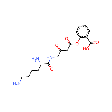 NCCCC[C@H](N)C(=O)NCC(=O)CC(=O)Oc1ccccc1C(=O)O